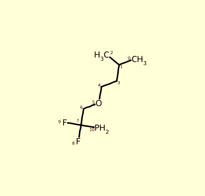 CC(C)CCOCC(F)(F)P